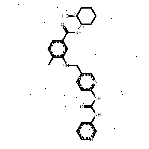 Cc1ccc(C(=O)N[C@H]2CCCC[C@@H]2O)cc1NCc1ccc(NC(=O)Nc2cccnc2)nc1